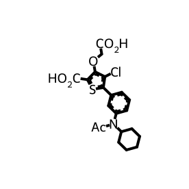 CC(=O)N(c1cccc(-c2sc(C(=O)O)c(OCC(=O)O)c2Cl)c1)C1CCCCC1